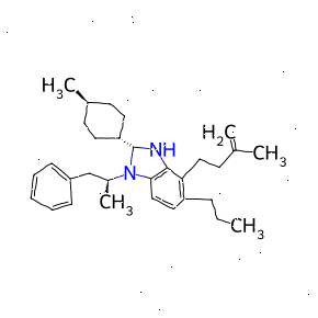 C=C(C)CCc1c(CCC)ccc2c1NC([C@H]1CC[C@H](C)CC1)N2[C@@H](C)Cc1ccccc1